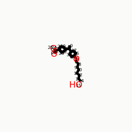 C=C(c1ccc(OCCCCCCCCO)cc1)c1ccc(C(=O)OC)cc1